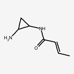 CC=CC(=O)NC1CC1N